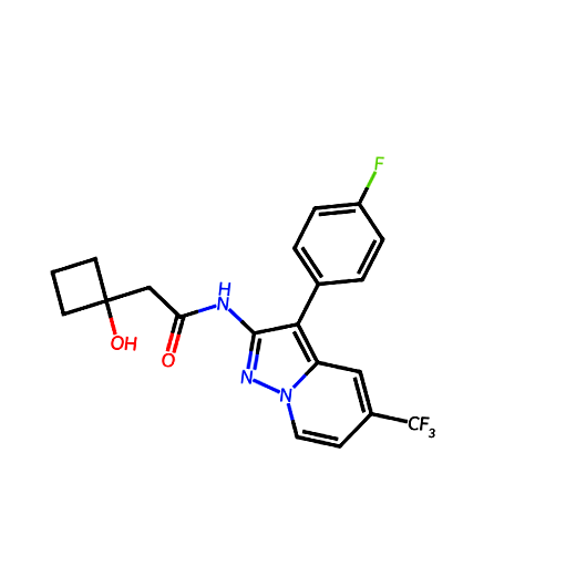 O=C(CC1(O)CCC1)Nc1nn2ccc(C(F)(F)F)cc2c1-c1ccc(F)cc1